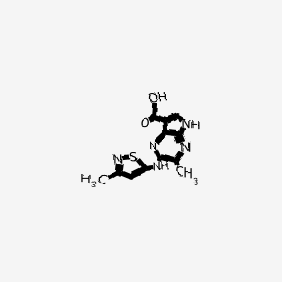 Cc1cc(Nc2nc3c(C(=O)O)c[nH]c3nc2C)sn1